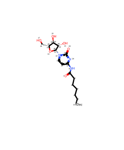 CCCCCCCCCCCCCCCC(=O)Nc1ccn([C@@H]2O[C@H](CO)[C@@H](O)[C@@H]2O)c(=O)n1